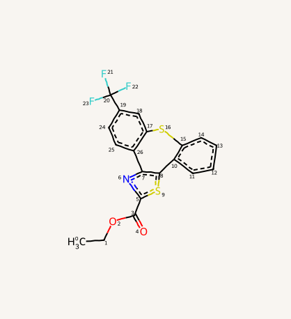 CCOC(=O)c1nc2c(s1)-c1ccccc1Sc1cc(C(F)(F)F)ccc1-2